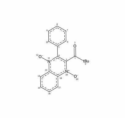 CC(C)(C)C(=O)c1c(-c2ccccc2)[n+]([O-])c2ccccc2[n+]1[O-]